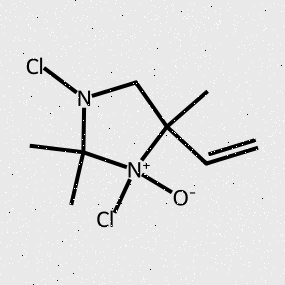 C=CC1(C)CN(Cl)C(C)(C)[N+]1([O-])Cl